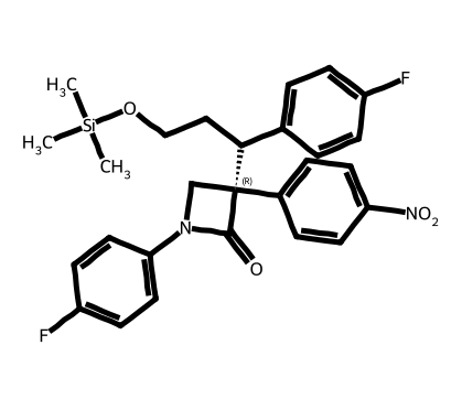 C[Si](C)(C)OCCC(c1ccc(F)cc1)[C@@]1(c2ccc([N+](=O)[O-])cc2)CN(c2ccc(F)cc2)C1=O